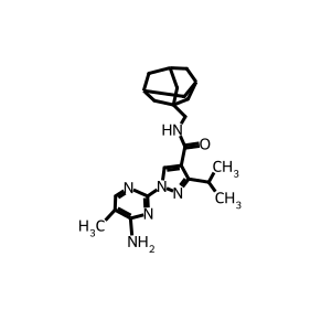 Cc1cnc(-n2cc(C(=O)NCC34CC5CC(CC(C5)C3)C4)c(C(C)C)n2)nc1N